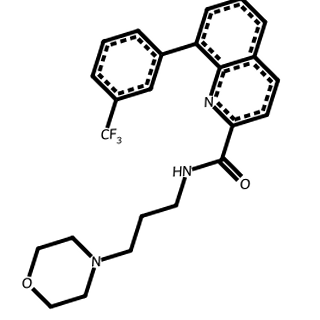 O=C(NCCCN1CCOCC1)c1ccc2cccc(-c3cccc(C(F)(F)F)c3)c2n1